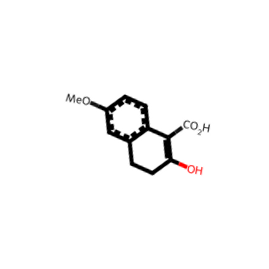 COc1ccc2c(c1)CCC(O)=C2C(=O)O